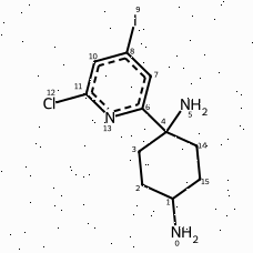 NC1CCC(N)(c2cc(I)cc(Cl)n2)CC1